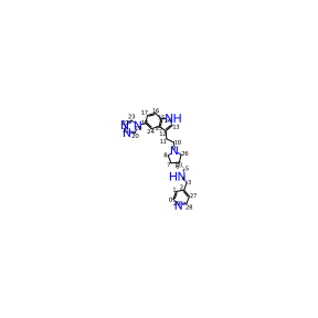 c1cc(CNC[C@@H]2CCN(CCc3c[nH]c4ccc(-n5cnnc5)cc34)C2)ccn1